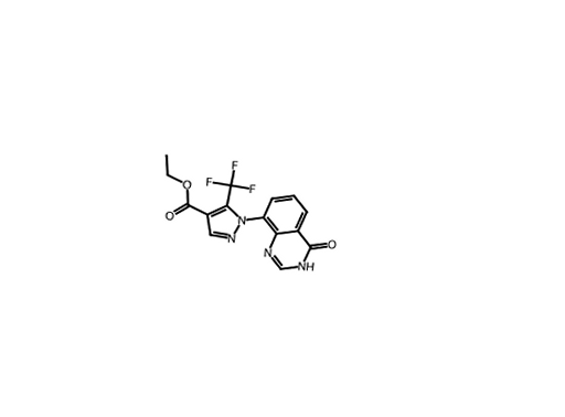 CCOC(=O)c1cnn(-c2cccc3c(=O)[nH]cnc23)c1C(F)(F)F